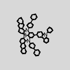 c1ccc(-c2ccc(N3c4cc(-c5ccc6c(c5)c5ccccc5n6-c5ccccc5)cc5c4B(c4ccc6cc7ccccc7cc6c43)c3ccc4cc6ccccc6cc4c3N5c3ccc(-c4ccccc4)cc3)cc2)cc1